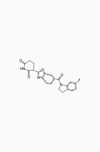 O=C1CCC(c2nc3ccc(C(=O)N4CCc5ccc(F)cc54)cc3o2)C(=O)N1